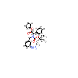 CC(C)(C)OC(=O)N(Cc1cccc(N)c1)C(C(=O)OC1CCCC1)c1ccccc1